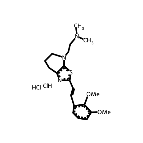 COc1cccc(C=Cc2nc3c(s2)N(CCN(C)C)CCC3)c1OC.Cl.Cl